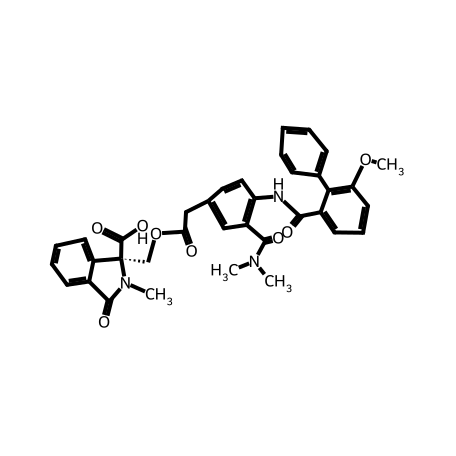 COc1cccc(C(=O)Nc2ccc(CC(=O)OC[C@@]3(C(=O)O)c4ccccc4C(=O)N3C)cc2C(=O)N(C)C)c1-c1ccccc1